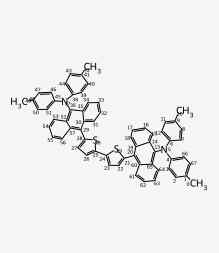 Cc1ccc(N(c2ccc(C)cc2)c2c3ccccc3c(-c3ccc(-c4ccc(-c5c6ccccc6c(N(c6ccc(C)cc6)c6ccc(C)cc6)c6ccccc56)s4)s3)c3ccccc23)cc1